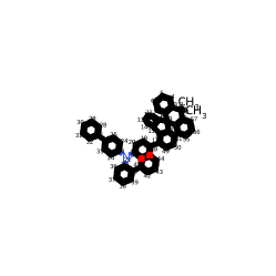 CC1(C)c2ccccc2C2(c3ccccc3-c3c(-c4ccc(N(c5ccc(-c6ccccc6)cc5)c5ccccc5-c5ccccc5)cc4)cccc32)c2ccccc21